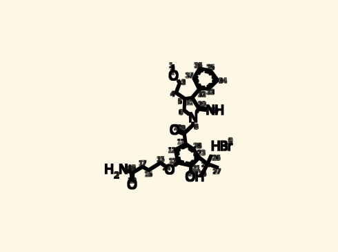 Br.COCCC1CN(CC(=O)c2cc(OCCCC(N)=O)c(O)c(C(C)(C)C)c2)C(=N)C1c1ccccc1